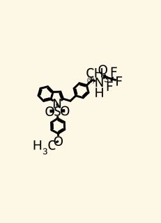 COc1ccc(S(=O)(=O)n2c(Cc3ccc([C@H](C)NC(=O)C(F)(F)F)cc3)cc3ccccc32)cc1